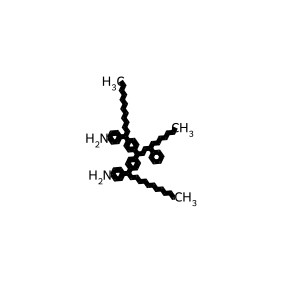 CCCCCCCCCCCCC(c1ccc(N)cc1)c1ccc(C(CCC(CCCCCCC)C2CCCCC2)c2ccc(C(CCCCCCCCCCCC)c3ccc(N)cc3)cc2)cc1